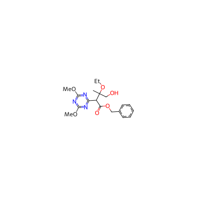 CCOC(C)(CO)C(C(=O)OCc1ccccc1)c1nc(OC)nc(OC)n1